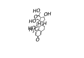 C[C@]12C=CC(=O)C=C1CC[C@@H]1C2[C@@H](O)C[C@@]2(CO)[C@H]1C[C@@H](O)[C@@H]2C(=O)CO